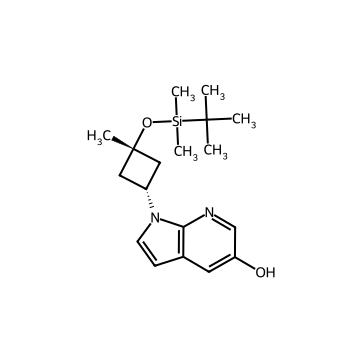 CC(C)(C)[Si](C)(C)O[C@]1(C)C[C@H](n2ccc3cc(O)cnc32)C1